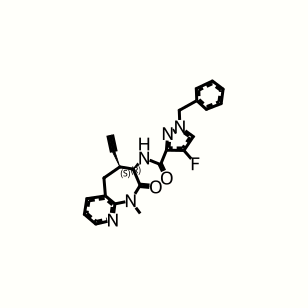 C#C[C@@H]1Cc2cccnc2N(C)C(=O)[C@@H]1NC(=O)c1nn(Cc2ccccc2)cc1F